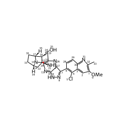 COc1cc2c(Cl)c(-c3n[nH]c4nc(N5[C@H]6CC[C@@H]5[C@@H](F)[C@@H](N)C6)c(CO)nc34)ccc2nc1C